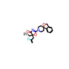 C=C(F)CC1(CC(C)C)OC(N2CCC3(CC2)OCc2ccccc23)=NC1=O